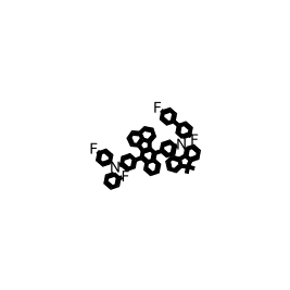 CC1(C)c2ccccc2-c2c(N(c3ccc(-c4c5c(c(-c6ccc(N(c7ccc(F)cc7)c7ccccc7F)cc6)c6ccccc46)-c4cccc6cccc-5c46)cc3)c3cc(-c4ccc(F)cc4)ccc3F)cccc21